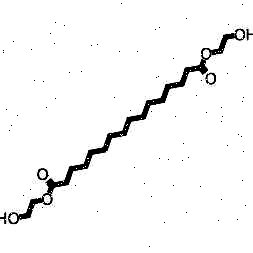 O=C(CCCCCCCCCCCCCCC(=O)OCCO)OCCO